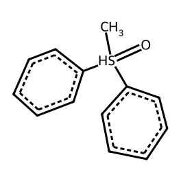 C[SH](=O)(c1ccccc1)c1ccccc1